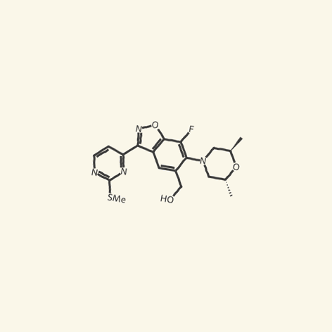 CSc1nccc(-c2noc3c(F)c(N4C[C@@H](C)O[C@H](C)C4)c(CO)cc23)n1